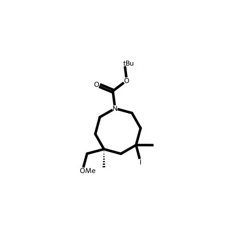 COC[C@@]1(C)CCN(C(=O)OC(C)(C)C)CCC(C)(I)C1